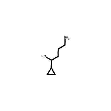 BCCCC(O)C1CC1